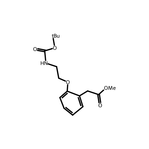 COC(=O)Cc1ccccc1OCCNC(=O)OC(C)(C)C